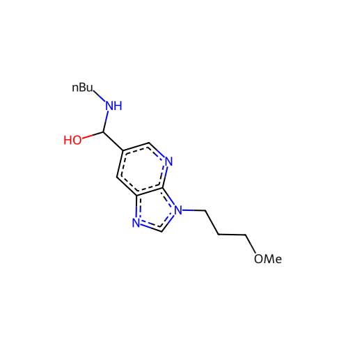 CCCCNC(O)c1cnc2c(c1)ncn2CCCOC